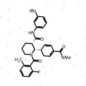 CNC(=O)C1=CCC([C@H]2[C@@H](C(=O)Nc3cccc(C(C)(C)C)c3)CCCN2C(=O)c2c(C)cccc2F)C=C1